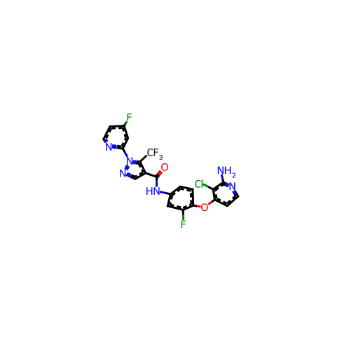 Nc1nccc(Oc2ccc(NC(=O)c3cnn(-c4cc(F)ccn4)c3C(F)(F)F)cc2F)c1Cl